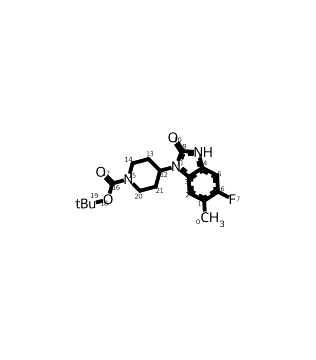 Cc1cc2c(cc1F)[nH]c(=O)n2C1CCN(C(=O)OC(C)(C)C)CC1